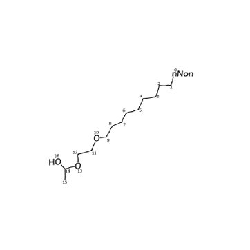 CCCCCCCCCCCCCCCCCCOCCOC(C)O